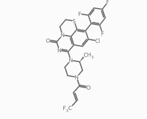 C[C@H]1CN(C(=O)/C=C/C(F)(F)F)CCN1c1nc(=O)n2c3c(c(-c4c(F)cc(F)cc4F)c(Cl)cc13)SCC2